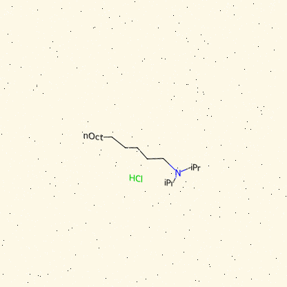 CCCCCCCCCCCCCN(C(C)C)C(C)C.Cl